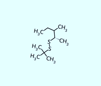 CCC(C)[C@H](C)SSC(C)(C)C